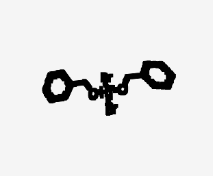 [Br][Hf]([Br])([O]Cc1ccccc1)[O]Cc1ccccc1